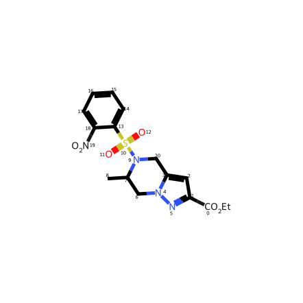 CCOC(=O)c1cc2n(n1)CC(C)N(S(=O)(=O)c1ccccc1[N+](=O)[O-])C2